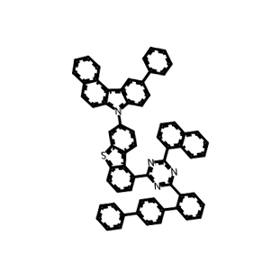 c1ccc(-c2ccc(-c3ccccc3-c3nc(-c4cccc5ccccc45)nc(-c4cccc5sc6cc(-n7c8ccc(-c9ccccc9)cc8c8c9ccccc9ccc87)ccc6c45)n3)cc2)cc1